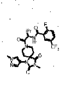 CC(C)C(NC(=O)c1cc(C(F)(F)F)ccc1F)C(=O)N1CCC2(CC1)C(=O)N(C)C(=O)N2c1cnn(C)c1